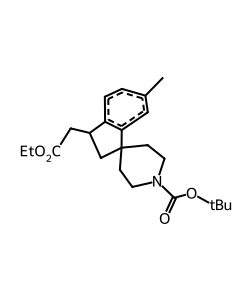 CCOC(=O)CC1CC2(CCN(C(=O)OC(C)(C)C)CC2)c2cc(C)ccc21